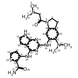 CN(C)CC(=O)N1CCc2cc(N(C)C)c(Nc3nc(Nc4ccsc4C(N)=O)c4cc[nH]c4n3)cc21